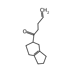 C=CCCC(=O)C1CCC2=C(CCC2)C1